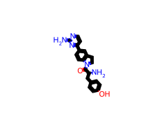 Nc1nccc(-c2ccc3c(c2)CCN3C(=O)[C@@H](N)Cc2ccc(O)cc2)n1